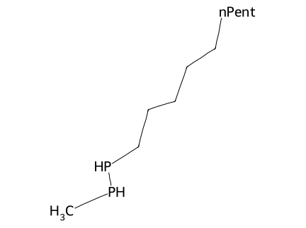 CCCCCCCCCCPPC